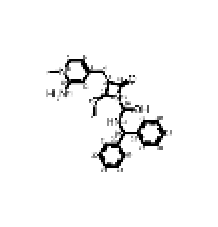 CSC1[C@@H](CC2=CCN(C)C(N)=C2)C(=O)N1C(O)NC(c1ccccc1)c1ccccc1